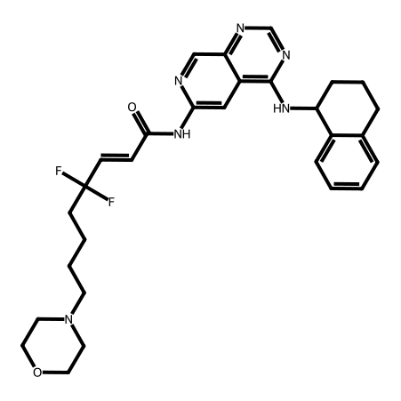 O=C(C=CC(F)(F)CCCCN1CCOCC1)Nc1cc2c(NC3CCCc4ccccc43)ncnc2cn1